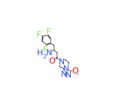 COc1nnc2n1CCN(C(=O)CC(N)Cc1cc(F)c(F)cc1F)C2